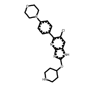 Clc1cc2[nH]c(OC3CCNCC3)nc2nc1-c1ccc(N2CCOCC2)cc1